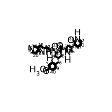 COc1ccc(C[C@@H]2C[C@@H](C(=O)NCc3cc4cnccc4[nH]3)N(C(=O)[C@H]3C[C@@H](c4ccc[nH]c4=O)CN3)C2)cc1